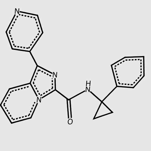 O=C(NC1(c2ccccc2)CC1)c1nc(-c2ccncc2)c2ccccn12